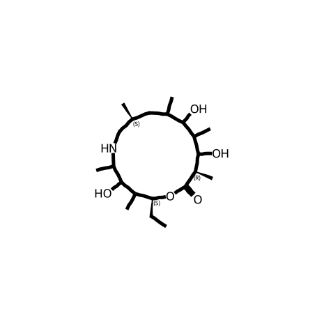 CC[C@@H]1OC(=O)[C@H](C)C(O)C(C)C(O)C(C)C[C@H](C)CNC(C)C(O)C1C